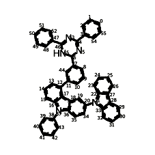 c1ccc(C2=NC(c3cccc(-c4cccc5c4c4cc(-n6c7ccccc7c7ccccc76)ccc4n5-c4ccccc4)c3)NC(c3ccccc3)=N2)cc1